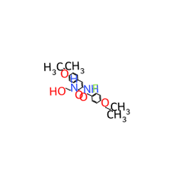 CC(C)COc1ccc(C(=O)N/C(=C/c2ccc(OC(C)C)cc2)C(=O)NCCO)c(F)c1